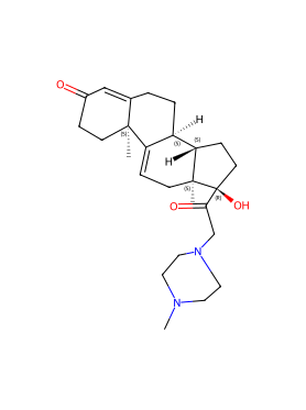 CN1CCN(CC(=O)[C@@]2(O)CC[C@H]3[C@@H]4CCC5=CC(=O)CC[C@]5(C)C4=CC[C@@]32C)CC1